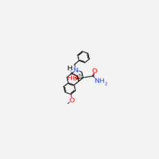 COc1ccc2c(c1)C13CCN(Cc4ccccc4)[C@H](C2)[C@]1(O)CC(C(N)=O)C3